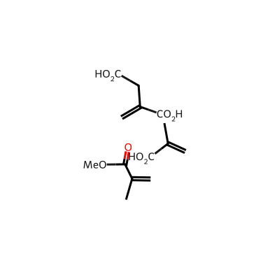 C=C(C)C(=O)O.C=C(C)C(=O)OC.C=C(CC(=O)O)C(=O)O